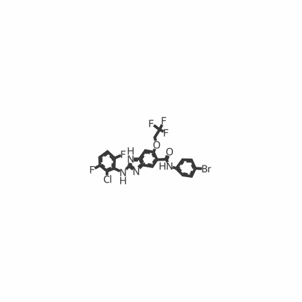 O=C(Nc1ccc(Br)cc1)c1cc2nc(Nc3c(F)ccc(F)c3Cl)[nH]c2cc1OCC(F)(F)F